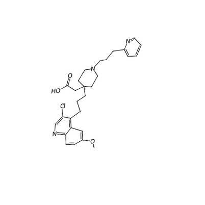 COc1ccc2ncc(Cl)c(CCCC3(CC(=O)O)CCN(CCCc4ccccn4)CC3)c2c1